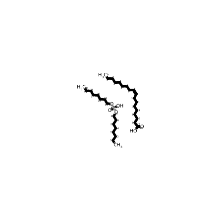 CCCCCCCC/C=C\CCCCCCCC(=O)O.CCCCCCCCOP(=O)(O)OCCCCCCCC